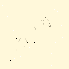 O=C(CCc1ccc(F)cc1)Cc1nnc[nH]1